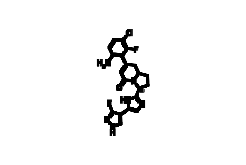 Nc1ccc(Cl)c(F)c1C1=CC(=O)N2C(CC[C@H]2c2ncc(-c3c[nH]nc3F)[nH]2)C1